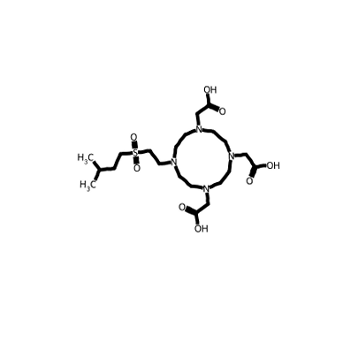 CC(C)CCS(=O)(=O)CCN1CCN(CC(=O)O)CCN(CC(=O)O)CCN(CC(=O)O)CC1